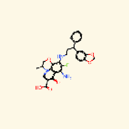 C[C@H]1COc2c(NCCC(c3ccccc3)c3ccc4c(c3)OCO4)c(F)c(N)c3c(=O)c(C(=O)O)cn1c23